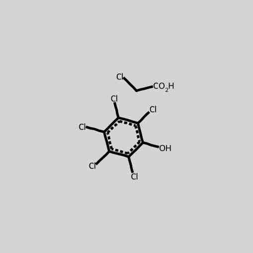 O=C(O)CCl.Oc1c(Cl)c(Cl)c(Cl)c(Cl)c1Cl